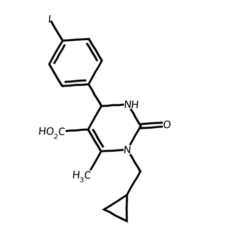 CC1=C(C(=O)O)C(c2ccc(I)cc2)NC(=O)N1CC1CC1